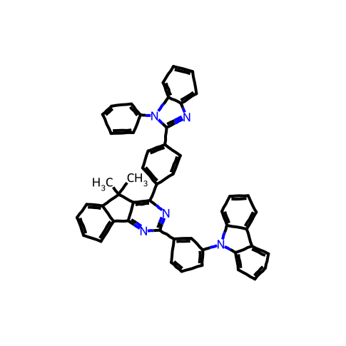 CC1(C)c2ccccc2-c2nc(-c3cccc(-n4c5ccccc5c5ccccc54)c3)nc(-c3ccc(-c4nc5ccccc5n4-c4ccccc4)cc3)c21